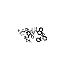 COc1c(C[S+](C)[O-])cc(C(C)(C)C)cc1NC(=O)Nc1ccc(OC2(Nc3ccccc3)C=CC=CN2)c2ccccc12